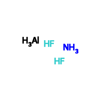 F.F.N.[AlH3]